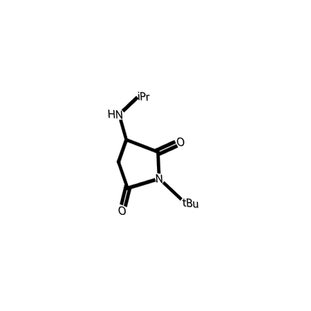 CC(C)NC1CC(=O)N(C(C)(C)C)C1=O